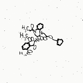 CCC(=O)N1C[C@H](NC(=O)C(=O)c2c(OC)cccc2OC)C(=O)N(CC(=O)OCc2ccccc2)c2ccccc21